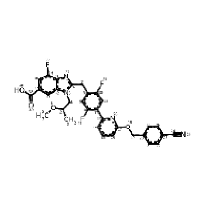 CO[C@H](C)Cn1c(Cc2cc(F)c(-c3cccc(OCc4ccc(C#N)cc4)n3)cc2F)nc2c(F)cc(C(=O)O)cc21